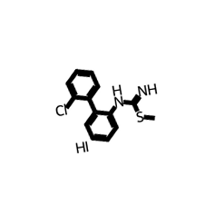 CSC(=N)Nc1ccccc1-c1ccccc1Cl.I